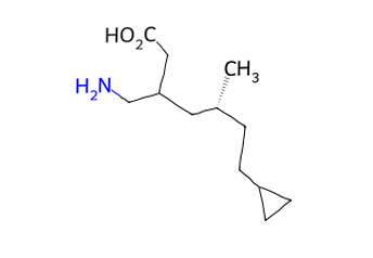 C[C@H](CCC1CC1)CC(CN)CC(=O)O